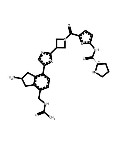 CC(=O)NCc1ccc(-c2cnc(C3CN(C(=O)c4ccc(NC(=O)[C@@H]5CCCN5)s4)C3)s2)c2c1CC(N)C2